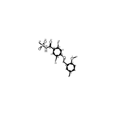 COc1ccc(C)cc1COc1cc(F)c(C(=O)NS(C)(=O)=O)cc1F